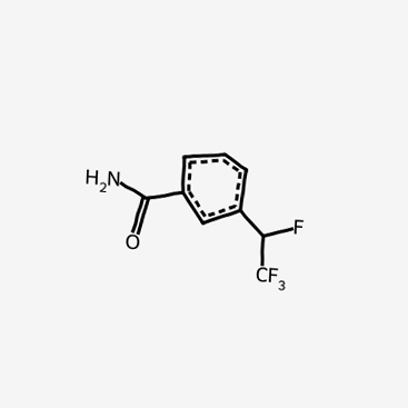 NC(=O)c1cccc(C(F)C(F)(F)F)c1